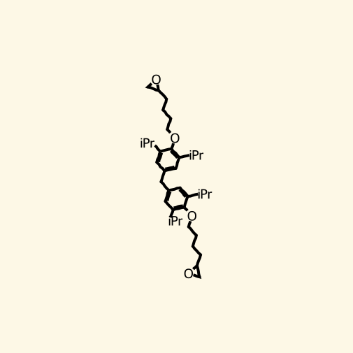 CC(C)c1cc(Cc2cc(C(C)C)c(OCCCCC3CO3)c(C(C)C)c2)cc(C(C)C)c1OCCCCC1CO1